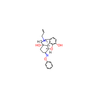 C=CCN1CC[C@]23c4c5ccc(O)c4O[C@H]2C(=NOc2ccccc2)CCC3(O)[C@H]1C5